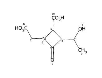 CC(O)C1C(=O)N(CC(=O)O)C1C(=O)O